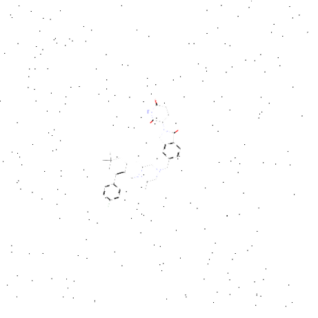 CC1CN(Cc2ccc3c(c2)CN(C2CCC(=O)NC2=O)C3=O)CC(C)N1CC1=C(c2ccc(Cl)cc2)CC(C)(C)CC1